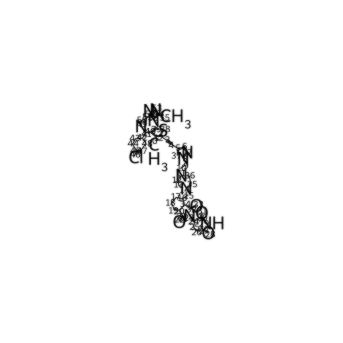 Cc1c(C#Cc2cnn(CCN3CCN(CC4CCCC5C(=O)N(C6CCC(=O)NC6=O)C(=O)C45)CC3)c2)sc2c1C(C1CCC(Cl)CC1)=NCc1nnc(C)n1-2